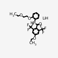 CCOCCOc1ccccc1PC(=O)c1c(C(F)(F)F)cc(OCC)cc1C(F)(F)F.[LiH]